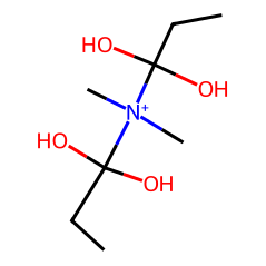 CCC(O)(O)[N+](C)(C)C(O)(O)CC